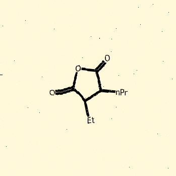 CCCC1C(=O)OC(=O)C1CC